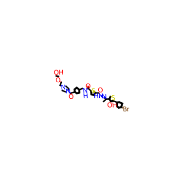 C/C(=N\NC(=O)c1ccc(C(=O)NCc2ccc(C(=O)N3CCN(CCOCCO)CC3)cc2)s1)c1csc(-c2ccc(Br)cc2)c1O